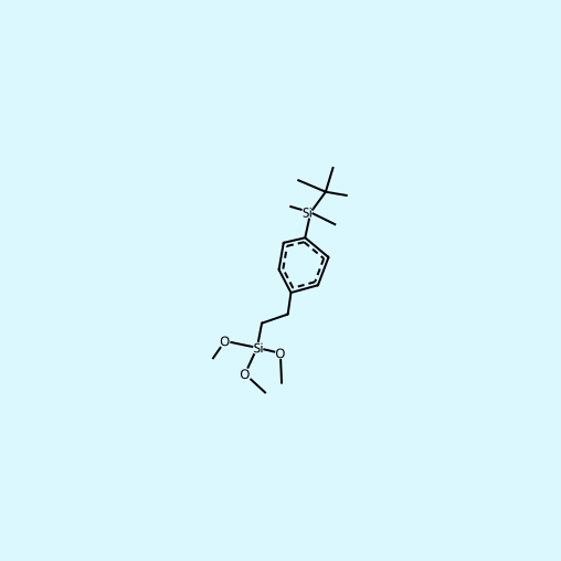 CO[Si](CCc1ccc([Si](C)(C)C(C)(C)C)cc1)(OC)OC